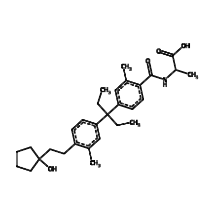 CCC(CC)(c1ccc(CCC2(O)CCCC2)c(C)c1)c1ccc(C(=O)NC(C)C(=O)O)c(C)c1